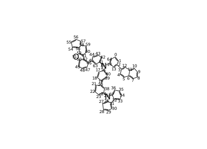 c1cc(-c2ccc3ccccc3c2)cc(N(c2ccc(-c3cccc(-n4c5ccccc5c5ccccc54)c3)cc2)c2cccc(-c3cccc4oc5c6ccccc6ccc5c34)c2)c1